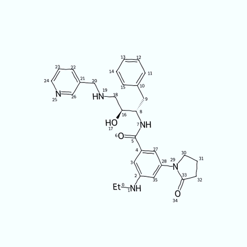 CCNc1cc(C(=O)N[C@@H](Cc2ccccc2)[C@@H](O)CNCc2cccnc2)cc(N2CCCC2=O)c1